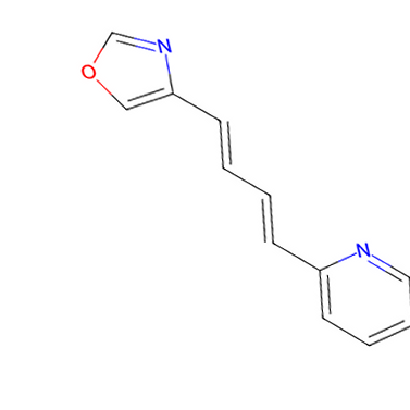 C(C=Cc1cocn1)=Cc1ccccn1